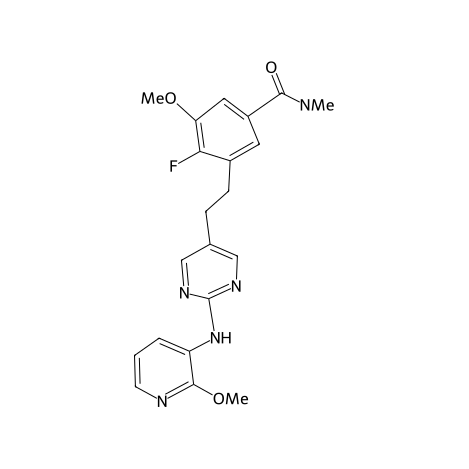 CNC(=O)c1cc(CCc2cnc(Nc3cccnc3OC)nc2)c(F)c(OC)c1